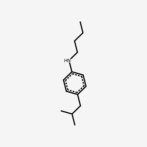 CCCCNc1ccc(CC(C)C)cc1